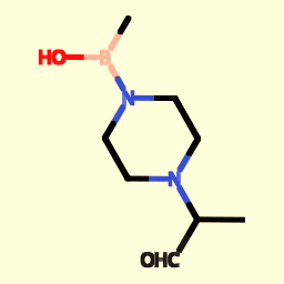 CB(O)N1CCN(C(C)C=O)CC1